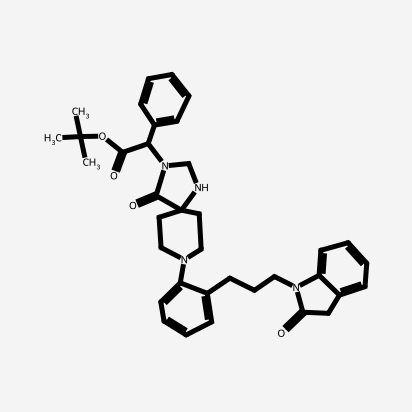 CC(C)(C)OC(=O)C(c1ccccc1)N1CNC2(CCN(c3ccccc3CCCN3C(=O)Cc4ccccc43)CC2)C1=O